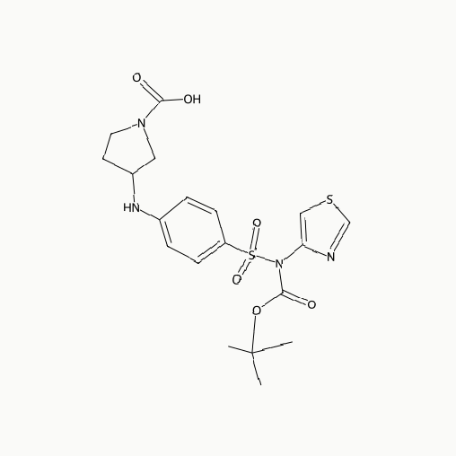 CC(C)(C)OC(=O)N(c1cscn1)S(=O)(=O)c1ccc(NC2CCN(C(=O)O)C2)cc1